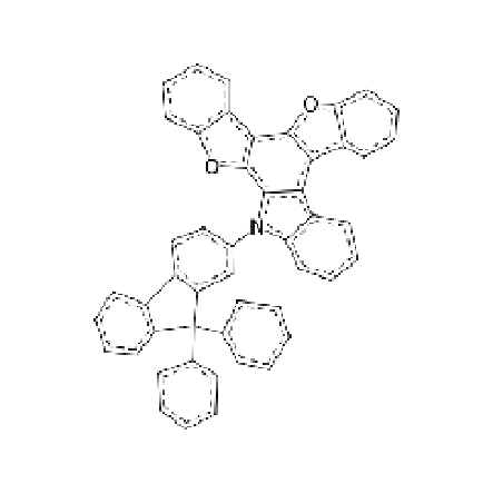 c1ccc(C2(c3ccccc3)c3ccccc3-c3ccc(-n4c5ccccc5c5c6c7ccccc7oc6c6c7ccccc7oc6c54)cc32)cc1